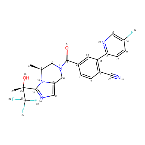 C[C@H]1CN(C(=O)c2ccc(C#N)c(-c3ccc(F)cn3)c2)Cc2cnc([C@@](C)(O)C(F)(F)F)n21